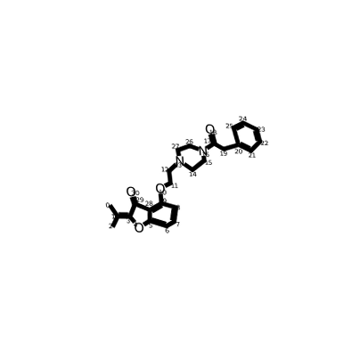 CC(C)=C1Oc2cccc(OCCN3CCN(C(=O)Cc4ccccc4)CC3)c2C1=O